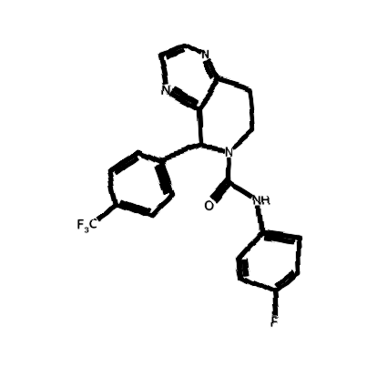 O=C(Nc1ccc(F)cc1)N1CCc2nccnc2C1c1ccc(C(F)(F)F)cc1